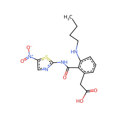 CCCCNc1cccc(CC(=O)O)c1C(=O)Nc1ncc([N+](=O)[O-])s1